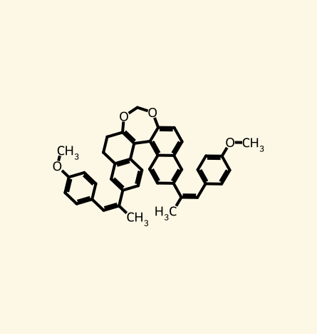 COc1ccc(/C=C(/C)c2ccc3c(c2)CCC2=C3c3c(ccc4cc(/C(C)=C\c5ccc(OC)cc5)ccc34)OCO2)cc1